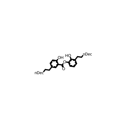 CCCCCCCCCCCCc1ccc(O)c(C(=O)Oc2cccc(CCCCCCCCCCCC)c2O)c1